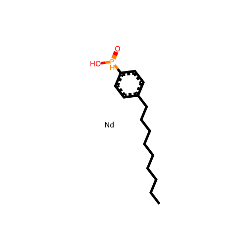 CCCCCCCCCc1ccc([PH](=O)O)cc1.[Nd]